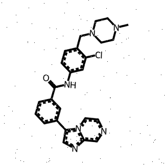 CN1CCN(Cc2ccc(NC(=O)c3cccc(-c4cnc5cnccn45)c3)cc2Cl)CC1